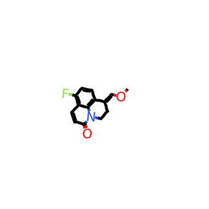 COC=C1CCn2c(=O)ccc3c(F)ccc1c32